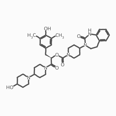 Cc1cc(C[C@@H](OC(=O)N2CCC(N3CCc4ccccc4NC3=O)CC2)C(=O)N2CCC(N3CCC(O)CC3)CC2)cc(C)c1O